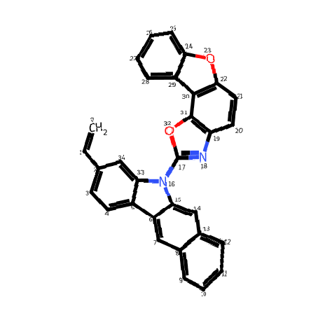 C=Cc1ccc2c3cc4ccccc4cc3n(-c3nc4ccc5oc6ccccc6c5c4o3)c2c1